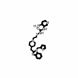 Nc1ccncc1NC(=O)NSCCN1CCC(Cc2nc3ccccc3n2Cc2cccs2)CC1